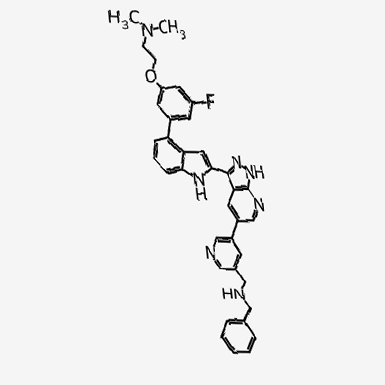 CN(C)CCOc1cc(F)cc(-c2cccc3[nH]c(-c4n[nH]c5ncc(-c6cncc(CNCc7ccccc7)c6)cc45)cc23)c1